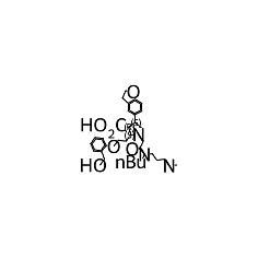 CCCCN(CCCN(C)C)C(=O)CN1C[C@H](c2ccc3c(c2)CCO3)[C@@H](C(=O)O)[C@@H]1CCOc1ccccc1CO